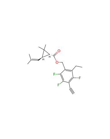 C#Cc1c(F)c(F)c(COC(=O)[C@@H]2[C@@H](C=C(C)C)C2(C)C)c(CC)c1F